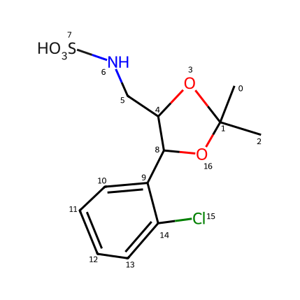 CC1(C)OC(CNS(=O)(=O)O)C(c2ccccc2Cl)O1